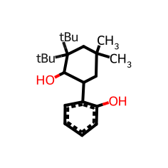 CC1(C)CC(c2ccccc2O)C(O)C(C(C)(C)C)(C(C)(C)C)C1